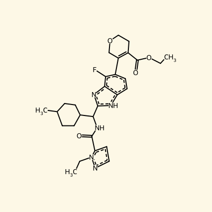 CCOC(=O)C1=C(c2ccc3[nH]c(C(NC(=O)c4ccnn4CC)C4CCC(C)CC4)nc3c2F)COCC1